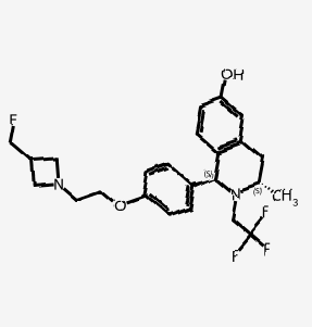 C[C@H]1Cc2cc(O)ccc2[C@H](c2ccc(OCCN3CC(CF)C3)cc2)N1CC(F)(F)F